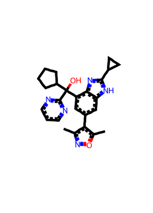 Cc1noc(C)c1-c1cc(C(O)(c2ncccn2)C2CCCC2)c2nc(C3CC3)[nH]c2c1